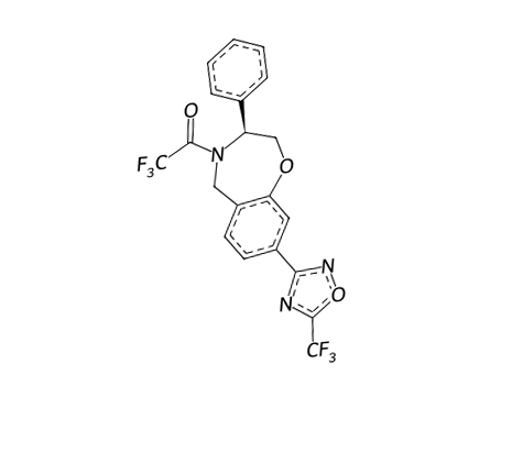 O=C(N1Cc2ccc(-c3noc(C(F)(F)F)n3)cc2OC[C@@H]1c1ccccc1)C(F)(F)F